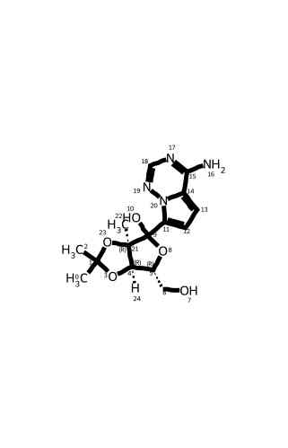 CC1(C)O[C@@H]2[C@@H](CO)OC(O)(c3ccc4c(N)ncnn34)[C@]2(C)O1